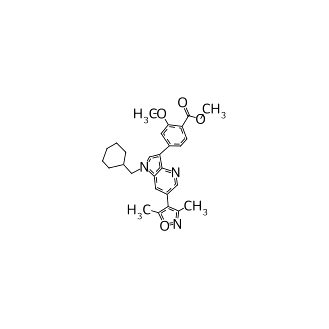 COC(=O)c1ccc(-c2cn(CC3CCCCC3)c3cc(-c4c(C)noc4C)cnc23)cc1OC